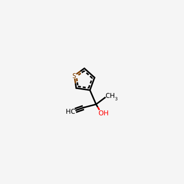 C#CC(C)(O)c1ccsc1